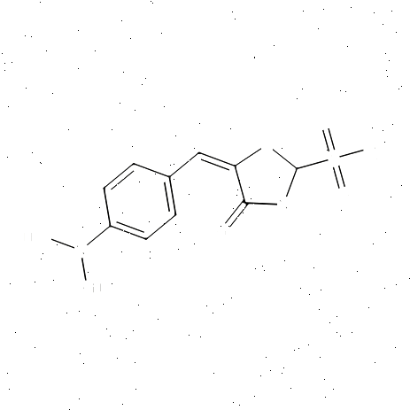 CN(C)c1ccc(C=C2SC(S(=O)(=O)O)NC2=O)cc1